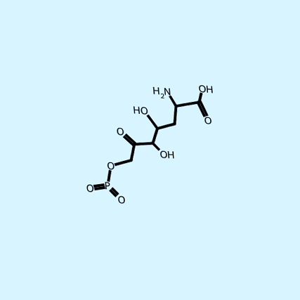 NC(CC(O)C(O)C(=O)COP(=O)=O)C(=O)O